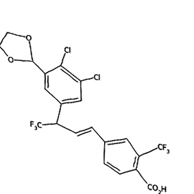 O=C(O)c1ccc(/C=C/C(c2cc(Cl)c(Cl)c(C3OCCO3)c2)C(F)(F)F)cc1C(F)(F)F